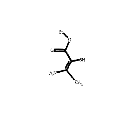 CCOC(=O)C(S)=C(C)N